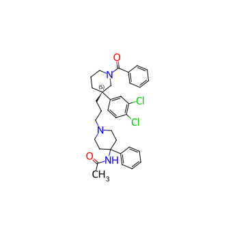 CC(=O)NC1(c2ccccc2)CCN(CCC[C@@]2(c3ccc(Cl)c(Cl)c3)CCCN(C(=O)c3ccccc3)C2)CC1